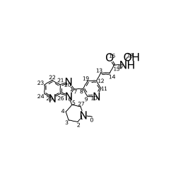 CN1CCCC(n2c(-c3cncc(C=CC(=O)NO)c3)nc3cccnc32)C1